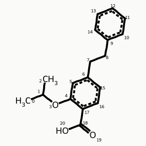 CC(C)Oc1cc(CCc2ccccc2)ccc1C(=O)O